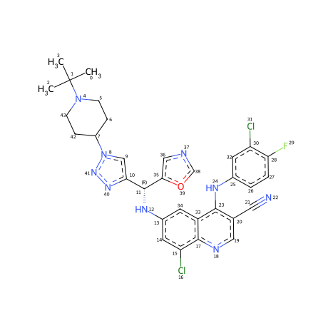 CC(C)(C)N1CCC(n2cc([C@@H](Nc3cc(Cl)c4ncc(C#N)c(Nc5ccc(F)c(Cl)c5)c4c3)c3cnco3)nn2)CC1